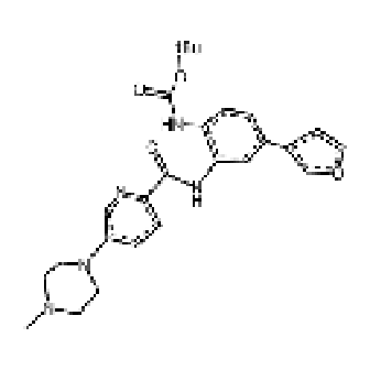 CN1CCN(c2ccc(C(=O)Nc3cc(-c4ccoc4)ccc3NC(=O)OC(C)(C)C)nc2)CC1